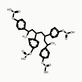 CC(CC(CC(CC(C)c1ccc(OS(=O)O)cc1)c1ccc(OS(=O)O)cc1)c1ccc(OS(=O)O)cc1)c1ccc(OS(=O)O)cc1